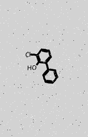 Oc1c(Cl)cccc1-c1ccccc1